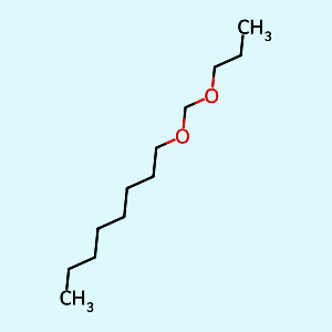 CCCCCCCCOCOCCC